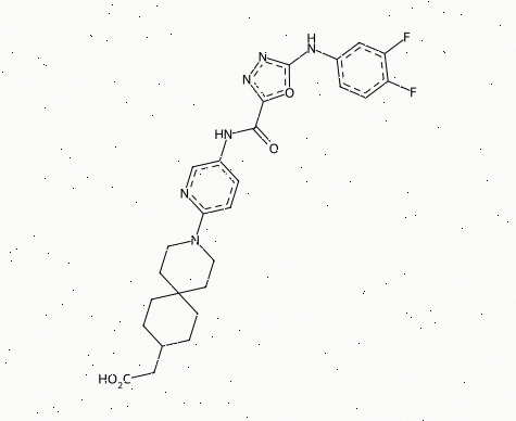 O=C(O)CC1CCC2(CC1)CCN(c1ccc(NC(=O)c3nnc(Nc4ccc(F)c(F)c4)o3)cn1)CC2